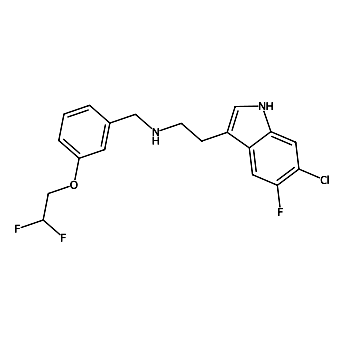 Fc1cc2c(CCNCc3cccc(OCC(F)F)c3)c[nH]c2cc1Cl